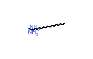 CCCCCCCCCCCCCCCCC(C)(N)N